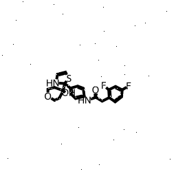 O=C(Cc1ccc(F)cc1F)Nc1ccc(C2(C3(O)CCOCC3)NC=CS2)cc1